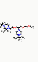 COCCOCC(COCCN1CCN(C(C)(C)C)CC1(C)C)N1CCN(C(C)(C)C)CC1